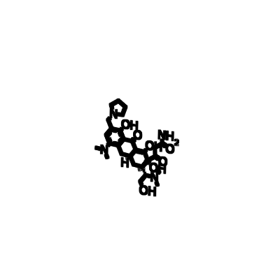 CN(C)c1cc(CN2CCCC2)c(O)c2c1C[C@H]1C[C@@H](C(CO)N(C)C)[C@@](O)(C(=O)CC(N)=O)C(O)=C1C2=O